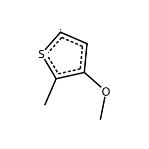 COc1c[c]sc1C